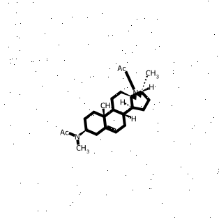 CC(=O)N(C)[C@H]1CC[C@@]2(C)C(=CC[C@@H]3C2CC[C@]24CN(C(C)=O)[C@@H](C)[C@H]2CC[C@@H]34)C1